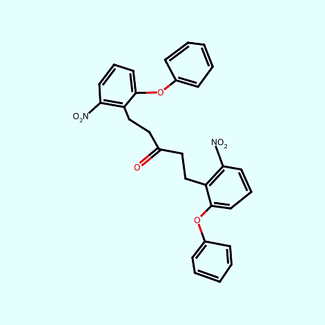 O=C(CCc1c(Oc2ccccc2)cccc1[N+](=O)[O-])CCc1c(Oc2ccccc2)cccc1[N+](=O)[O-]